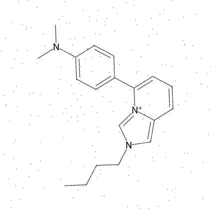 CCCCn1cc2cccc(-c3ccc(N(C)C)cc3)[n+]2c1